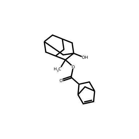 CC1(OC(=O)C2CC3C=CC2C3)C2CC3CC(C2)CC1(O)C3